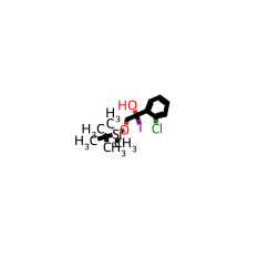 CC(C)(C)[Si](C)(C)OCC(O)(I)c1ccccc1Cl